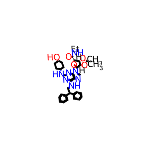 CCNC(=O)[C@H]1O[C@@H](n2cnc3c(NCC(c4ccccc4)c4ccccc4)nc(NC4CCC(O)CC4)nc32)[C@@H]2OC(C)(C)O[C@@H]21